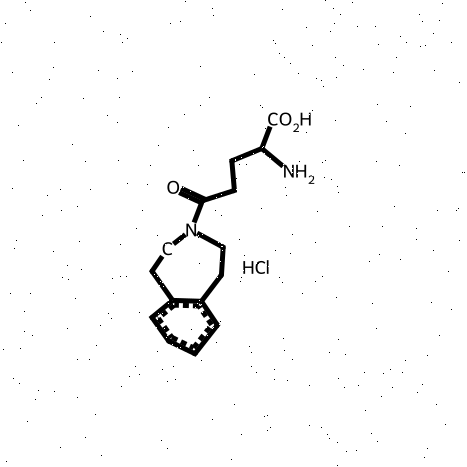 Cl.NC(CCC(=O)N1CCc2ccccc2CC1)C(=O)O